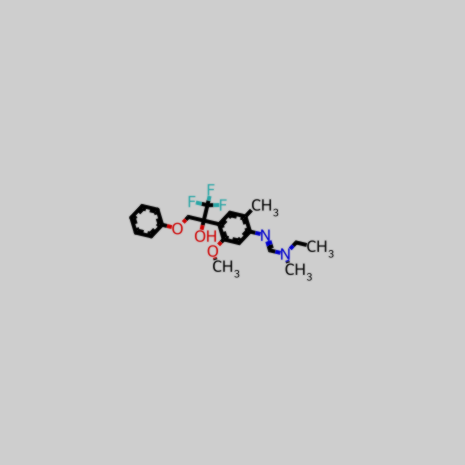 CCN(C)C=Nc1cc(OC)c(C(O)(COc2ccccc2)C(F)(F)F)cc1C